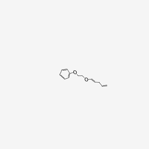 C=CCC=COCCOc1ccccc1